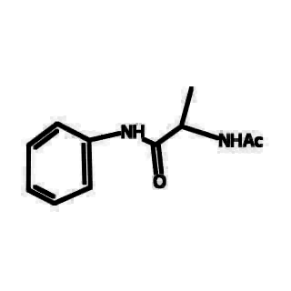 CC(=O)NC(C)C(=O)Nc1ccccc1